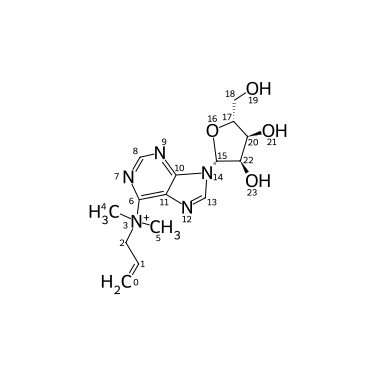 C=CC[N+](C)(C)c1ncnc2c1ncn2[C@@H]1O[C@H](CO)[C@@H](O)[C@H]1O